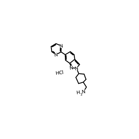 Cl.NCC1CCC(n2cc3ccc(-c4ncccn4)cc3n2)CC1